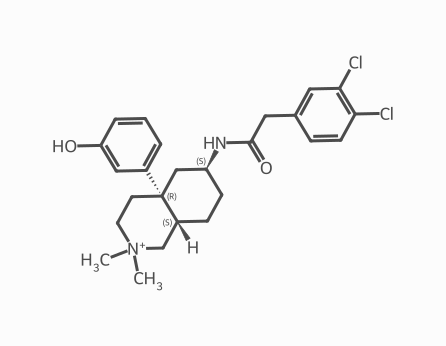 C[N+]1(C)CC[C@@]2(c3cccc(O)c3)C[C@@H](NC(=O)Cc3ccc(Cl)c(Cl)c3)CC[C@@H]2C1